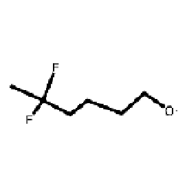 CC(F)(F)CCCC[O]